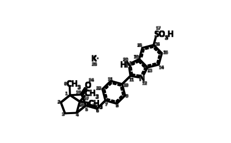 CC12CCC(C(=Cc3ccc(-c4nc5ccc(S(=O)(=O)O)cc5[nH]4)cc3)C1=O)C2(C)C.[K]